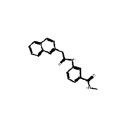 CNC(=O)c1cccc(NC(=O)Cc2ccc3ccccc3c2)c1